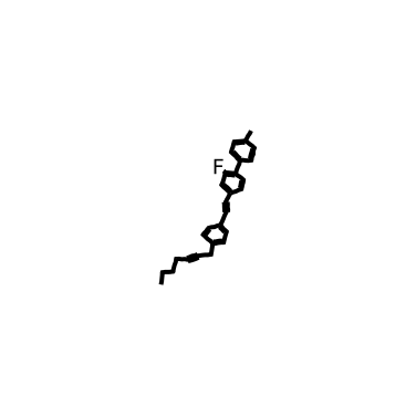 CCCCC#CCc1ccc(C#Cc2ccc(-c3ccc(C)cc3)c(F)c2)cc1